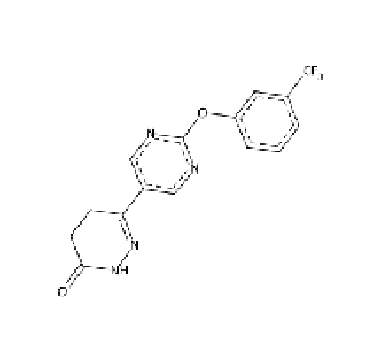 O=C1CCC(c2cnc(Oc3cccc(C(F)(F)F)c3)nc2)=NN1